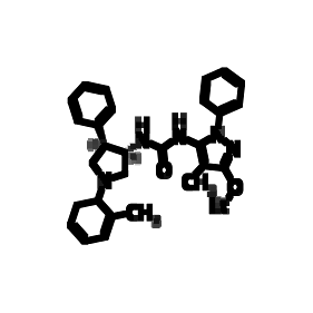 CCOc1nn(-c2ccccc2)c(NC(=O)N[C@@H]2CN(C3CC=CC=C3C)C[C@H]2c2ccccc2)c1C